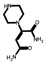 NC(=O)C=C(C(N)=O)N1CCNCC1